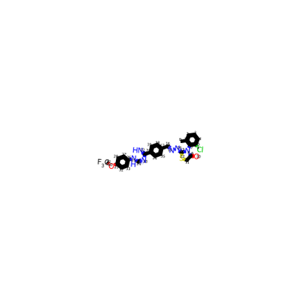 Cc1cccc(Cl)c1N1C(=O)CS/C1=N\N=C\c1ccc(C(=N)/N=C\Nc2ccc(OC(F)(F)F)cc2)cc1